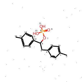 Cc1ccc(CC(OP(=O)(O)O)c2ccc(C)cc2)cc1